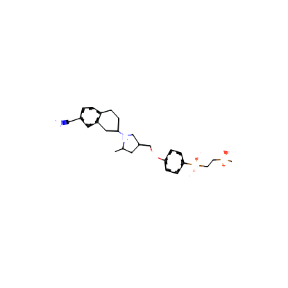 CC1CC(COc2ccc(S(=O)(=O)CCS(C)(=O)=O)cc2)CN1C1CCc2ccc(C#N)cc2C1